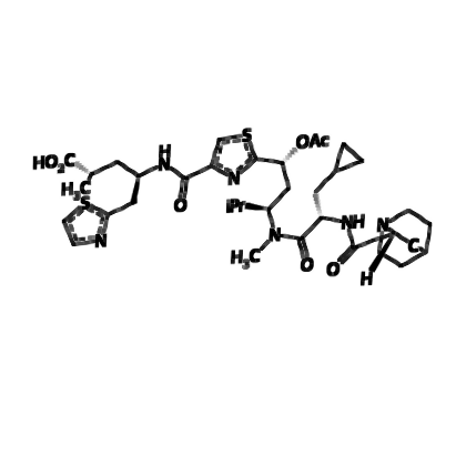 CC(=O)O[C@H](C[C@H](C(C)C)N(C)C(=O)[C@H](CC1CC1)NC(=O)[C@H]1CC2CCN1CC2)c1nc(C(=O)N[C@@H](Cc2nccs2)C[C@H](C)C(=O)O)cs1